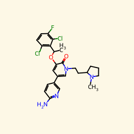 CC(Oc1cc(-c2ccc(N)nc2)cn(CCC2CCCN2C)c1=O)c1c(Cl)ccc(F)c1Cl